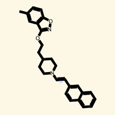 Cc1ccc2onc(OCCC3CCN(/C=C/c4ccc5ccccc5c4)CC3)c2c1